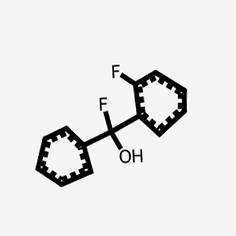 OC(F)(c1ccccc1)c1ccccc1F